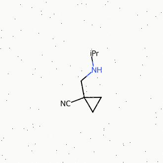 CC(C)NCC1(C#N)CC1